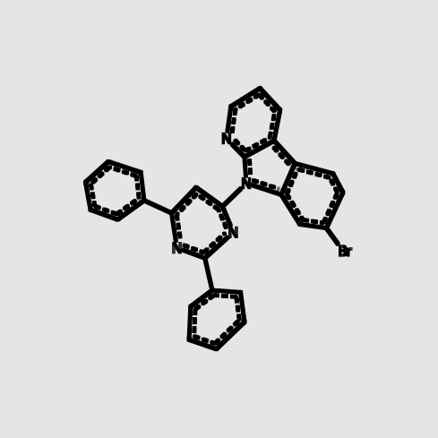 Brc1ccc2c3cccnc3n(-c3cc(-c4ccccc4)nc(-c4ccccc4)n3)c2c1